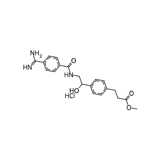 COC(=O)CCc1ccc(C(O)CNC(=O)c2ccc(C(=N)N)cc2)cc1.Cl